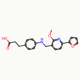 COc1nc(-c2ccco2)ccc1CNc1ccc(CCC(=O)O)cc1